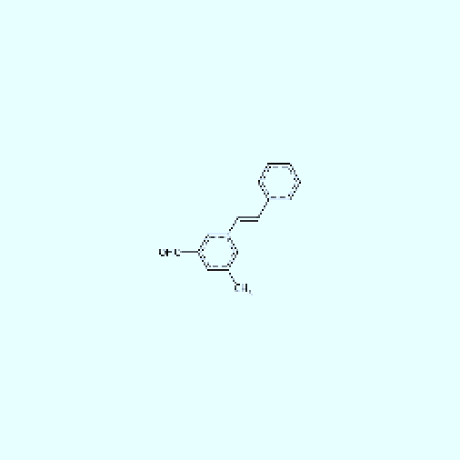 Cc1cc(C=O)cc(/C=C/c2ccccc2)c1